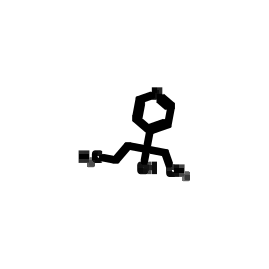 CCCC(O)(CC)c1ccncc1